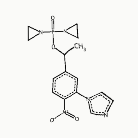 CC(OP(=O)(N1CC1)N1CC1)c1ccc([N+](=O)[O-])c(-n2ccnc2)c1